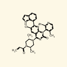 C=CC(=O)N1C[C@H](C)N(c2nc(=O)n(-c3c(C)ccnc3C(C)C)c3nc(-c4cccc5cc[nH]c45)c(Cl)cc23)C[C@H]1C